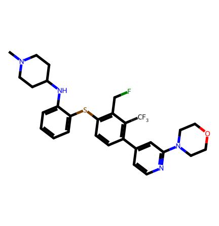 CN1CCC(Nc2ccccc2Sc2ccc(-c3ccnc(N4CCOCC4)c3)c(C(F)(F)F)c2CF)CC1